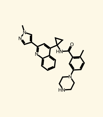 Cc1ccc(N2CCNCC2)cc1C(=O)NC1(c2cc(-c3cnn(C)c3)nc3ccccc23)CC1